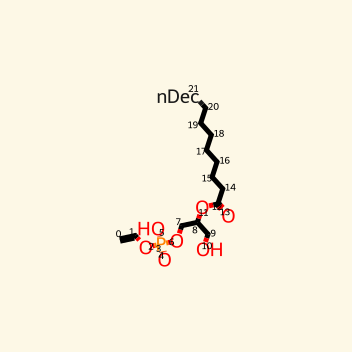 C=COP(=O)(O)OCC(CO)OC(=O)CCCCCCCCCCCCCCCCC